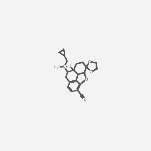 CN(CC1CC1)C1Cc2ccc(C#N)c3c2C2C(O3)C3(CCC21O)OCCO3